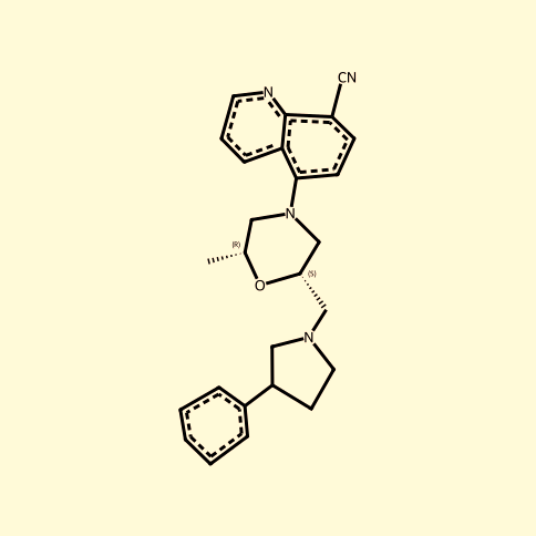 C[C@@H]1CN(c2ccc(C#N)c3ncccc23)C[C@H](CN2CCC(c3ccccc3)C2)O1